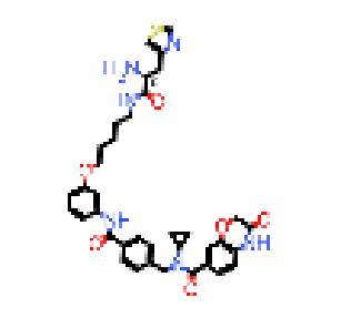 N[C@@H](Cc1cscn1)C(=O)NCCCCCOc1cccc(NC(=O)c2ccc(CN(C(=O)c3ccc4c(c3)OCC(=O)N4)C3CC3)cc2)c1